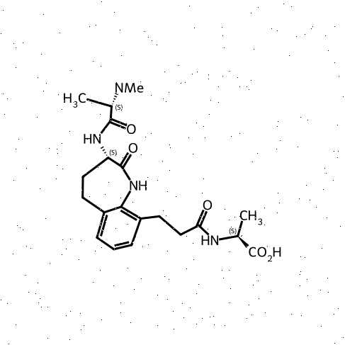 CN[C@@H](C)C(=O)N[C@H]1CCc2cccc(CCC(=O)N[C@@H](C)C(=O)O)c2NC1=O